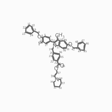 Cc1c(-c2ccc(OCc3ccccc3)c(F)c2)n(Cc2ccc(C(=O)OCCN3CCCCC3)cc2)c2ccc(OCc3ccccc3)cc12